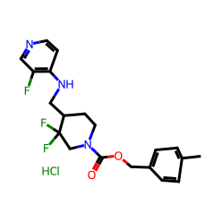 Cc1ccc(COC(=O)N2CCC(CNc3ccncc3F)C(F)(F)C2)cc1.Cl